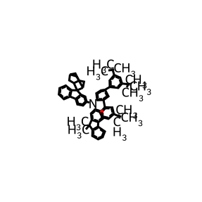 CC(C)(C)c1cccc(-c2cc(-c3cc(C(C)(C)C)cc(C(C)(C)C)c3)ccc2N(c2ccc3c(c2)C(C)(C)c2ccccc2-3)c2ccc3c(c2)C2(c4ccccc4-3)C3CC4CC(C3)C2C4)c1